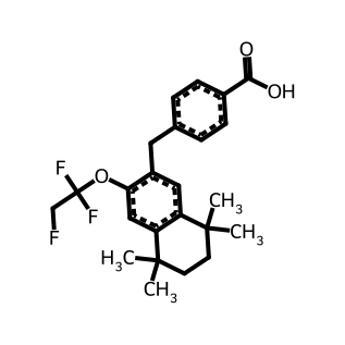 CC1(C)CCC(C)(C)c2cc(OC(F)(F)CF)c(Cc3ccc(C(=O)O)cc3)cc21